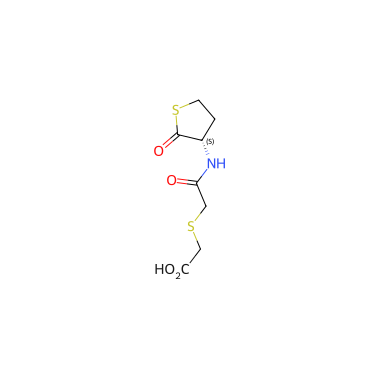 O=C(O)CSCC(=O)N[C@H]1CCSC1=O